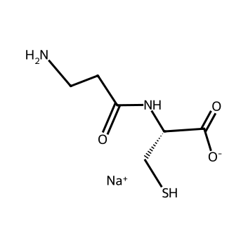 NCCC(=O)N[C@@H](CS)C(=O)[O-].[Na+]